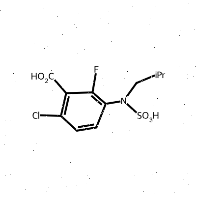 CC(C)CN(c1ccc(Cl)c(C(=O)O)c1F)S(=O)(=O)O